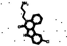 NCCCn1c(=O)c2[nH]c3ccc(Cl)cc3c2c2ccccc21